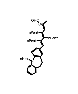 CCCCCCN1c2ccccc2CCc2cc(/C=C(CCCCC)/C(CCCCC)=C(/C=C(/C)OC=O)CCCCC)ccc21